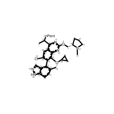 CCCCCC(C)c1nc(OC[C@@H]2CCCN2C)nc2c(OC3CC3)c(-c3c(C)ccc4[nH]ncc34)c(Cl)cc12